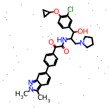 Cc1c2ccc(-c3ccc(C(=O)C(=O)NC(CN4CCCC4)C(O)c4ccc(OC5CC5)c(Cl)c4)cc3)cc2nn1C